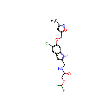 Cc1cc(COc2cc3[nH]c(CNC(=O)COC(F)F)cc3cc2Cl)on1